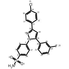 NS(=O)(=O)c1ccc(-n2nc(-c3ccc(Cl)cc3)cc2-c2cccc(F)c2)cc1